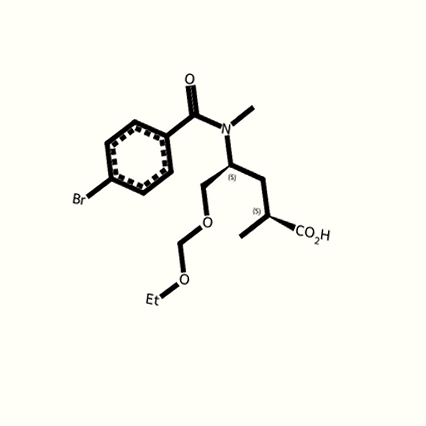 CCOCOC[C@H](C[C@H](C)C(=O)O)N(C)C(=O)c1ccc(Br)cc1